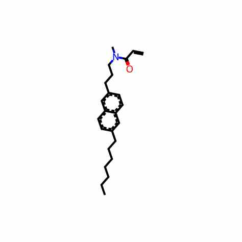 C=CC(=O)N(C)CCCc1ccc2cc(CCCCCCC)ccc2c1